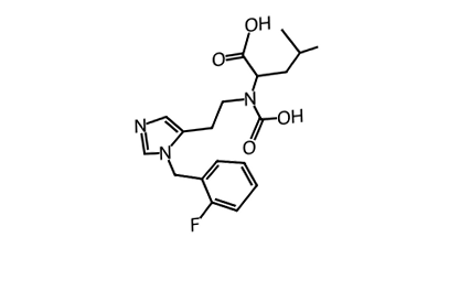 CC(C)CC(C(=O)O)N(CCc1cncn1Cc1ccccc1F)C(=O)O